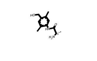 Cc1cc(NC(=O)[C@H](C)N)c(C)cc1CO